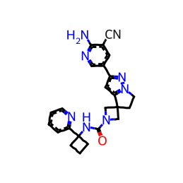 N#Cc1cc(-c2cc3n(n2)CCC32CN(C(=O)NC3(c4ccccn4)CCC3)C2)cnc1N